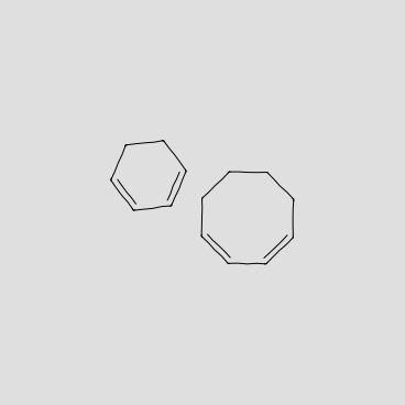 C1=CCCC=C1.C1=C\CCCC\C=C/1